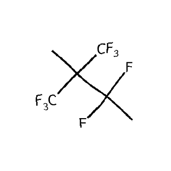 CC(F)(F)C(C)(C(F)(F)F)C(F)(F)F